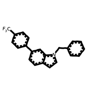 FC(F)(F)c1ccc(-c2ccc3ccn(Cc4ccccc4)c3c2)cc1